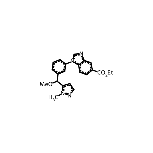 CCOC(=O)c1ccc2c(c1)ncn2-c1cccc(C(OC)c2ccnn2C)c1